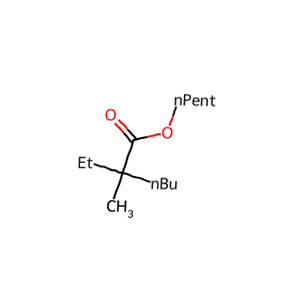 CCCCCOC(=O)C(C)(CC)CCCC